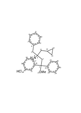 COC(CC(N)(Cc1ccccc1)CC1CC1)(c1ccccc1)c1ccccc1.Cl